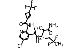 CC(F)(F)CC[C@H](NC(=O)c1cc(Cl)cnc1NC(=O)C12CC(C(F)(F)F)(C1)C2)C(=O)C(N)=O